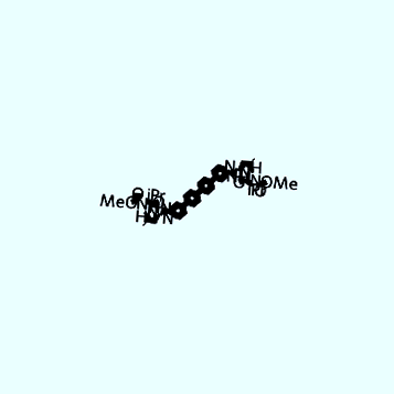 COC(=O)NC(C(=O)N1C[C@@H](C)C[C@H]1c1nc2ccc(-c3ccc(-c4ccc(-c5ccc6nc([C@@H]7C[C@H](C)CN7C(=O)[C@@H](NC(=O)OC)C(C)C)[nH]c6c5)cc4)cc3)cc2[nH]1)C(C)C